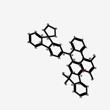 Cc1ccc(-c2ccccc2N(c2ccc3c(c2)C(C)(C)c2ccccc2-3)c2ccc3c(c2)C2(CCCC2)c2ccccc2-3)c(C)c1